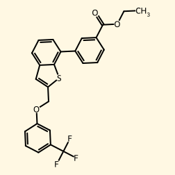 CCOC(=O)c1cccc(-c2cccc3cc(COc4cccc(C(F)(F)F)c4)sc23)c1